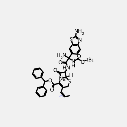 C/C=C\C1=C(C(=O)OC(c2ccccc2)c2ccccc2)N2C(=O)C(NC(=O)C(N)(NC(=O)OC(C)(C)C)c3ccc4nc(N)sc4c3)[C@@H]2SC1